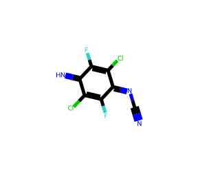 N#C/N=C1\C(F)=C(Cl)C(=N)C(F)=C1Cl